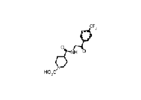 O=C(CNC(=O)C1CCN(C(=O)O)CC1)c1ccc(C(F)(F)F)cc1